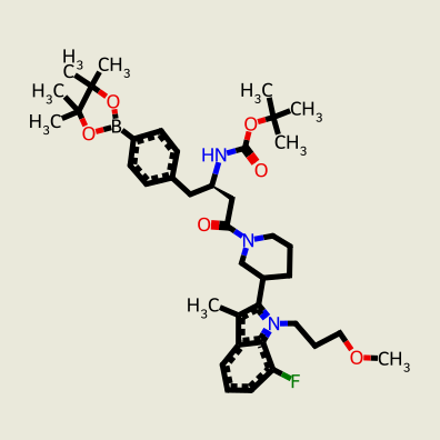 COCCCn1c(C2CCCN(C(=O)C[C@@H](Cc3ccc(B4OC(C)(C)C(C)(C)O4)cc3)NC(=O)OC(C)(C)C)C2)c(C)c2cccc(F)c21